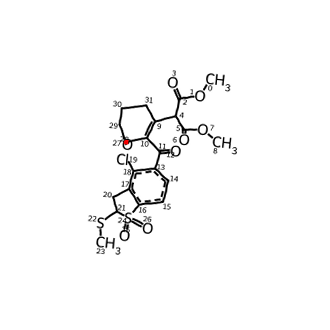 COC(=O)C(C(=O)OC)C1=C(C(=O)c2ccc3c(c2Cl)CC(SC)S3(=O)=O)C(=O)CCC1